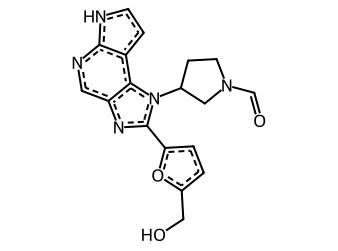 O=CN1CCC(n2c(-c3ccc(CO)o3)nc3cnc4[nH]ccc4c32)C1